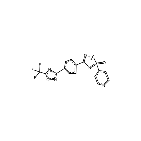 CS(=O)(=NC(=O)c1ccc(-c2noc(C(F)(F)F)n2)cc1)c1ccncc1